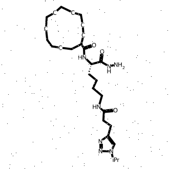 CC(C)n1cc(CCC(=O)NCCCC[C@H](NC(=O)C2CCCCCCCCCCCC2)C(=O)NN)nn1